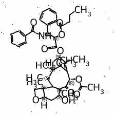 CCCC(=O)O[C@@H](C(=O)O[C@H]1C[C@@]2(O)[C@@H](C)C3[C@]4(C)CO[C@@H]4C[C@H](O)[C@@]3(C)C(=O)[C@H](OC(C)=O)C(=C1C)C2(C)C)[C@@H](NC(=O)c1ccccc1)c1ccccc1